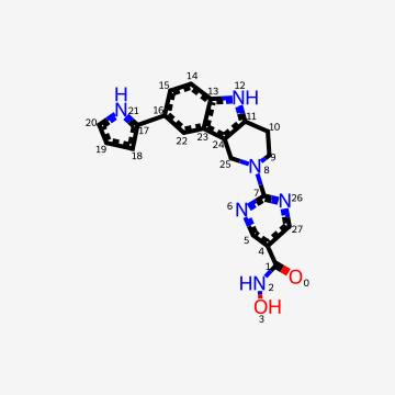 O=C(NO)c1cnc(N2CCc3[nH]c4ccc(-c5ccc[nH]5)cc4c3C2)nc1